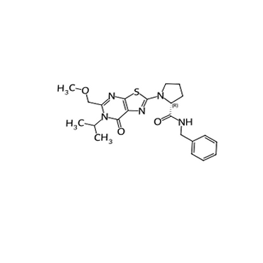 COCc1nc2sc(N3CCC[C@@H]3C(=O)NCc3ccccc3)nc2c(=O)n1C(C)C